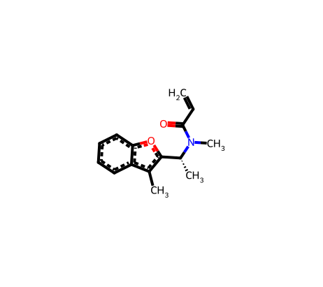 C=CC(=O)N(C)[C@H](C)c1oc2ccccc2c1C